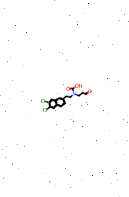 O=CCCN(CCc1ccc2cc(Cl)c(Cl)cc2c1)C(=O)O